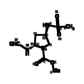 CC(C)(C)OC(=O)N1C[C@H](NS(C)(=O)=O)C[C@H]1NC=O